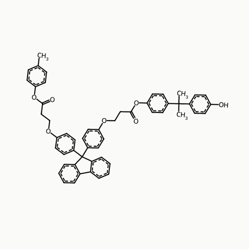 Cc1ccc(OC(=O)CCOc2ccc(C3(c4ccc(OCCC(=O)Oc5ccc(C(C)(C)c6ccc(O)cc6)cc5)cc4)c4ccccc4-c4ccccc43)cc2)cc1